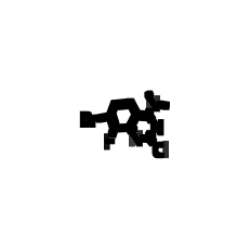 CN(C)c1nc(Cl)nc2c(F)c(Br)ccc12